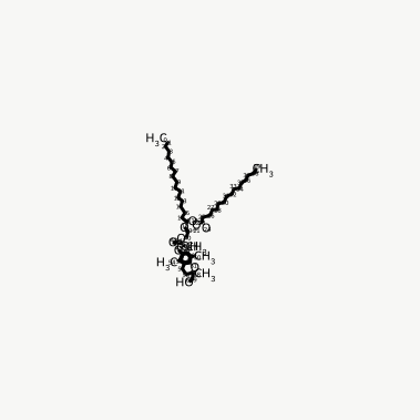 CCCCCCCCCCCCCCCCCC(=O)O[C@H](COC(=O)CCCCCCCCCCCCCCC)COP(=O)(O)Oc1c(C)c(C)c2c(c1C)CCC(C)(CO)O2